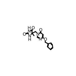 CC1(Cn2cnc(OCc3ccccc3)cc2=O)NC(=O)NC1=O